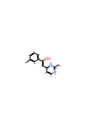 Cc1cccc(C(O)=Cc2ccnc(C)n2)c1